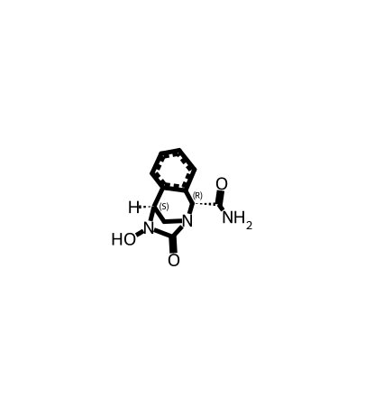 NC(=O)[C@H]1c2ccccc2[C@H]2CN1C(=O)N2O